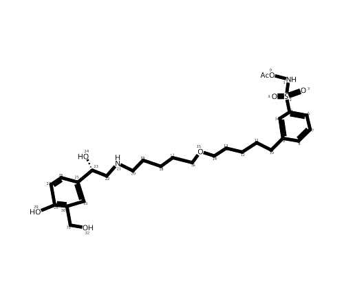 CC(=O)ONS(=O)(=O)c1cccc(CCCCCOCCCCCNC[C@@H](O)c2ccc(O)c(CO)c2)c1